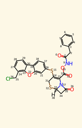 O=C(Cc1ccccc1)NOC(=O)C1=C(Sc2ccc3c(c2)oc2c(CCl)cccc23)CS[C@H]2CC(=O)N12